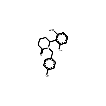 COc1cccc(OC)c1C1CCCC(=O)N1Cc1ccc(O)cc1